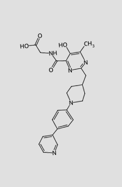 Cc1nc(CC2CCN(c3ccc(-c4cccnc4)cc3)CC2)nc(C(=O)NCC(=O)O)c1O